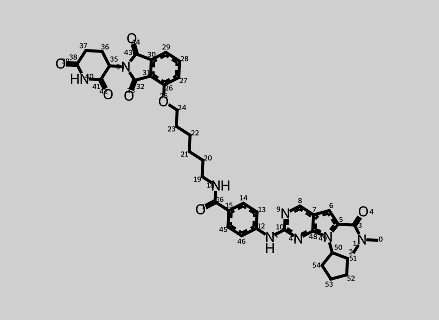 CN(C)C(=O)c1cc2cnc(Nc3ccc(C(=O)NCCCCCCOc4cccc5c4C(=O)N(C4CCC(=O)NC4=O)C5=O)cc3)nc2n1C1CCCC1